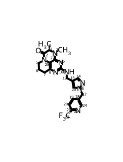 C[C@@H]1C(=O)N2CCCc3nc(NCc4cnn(Cc5ccc(C(F)(F)F)nc5)c4)nc(c32)N1C